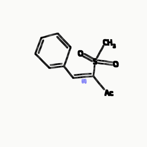 CC(=O)/C(=C/c1ccccc1)S(C)(=O)=O